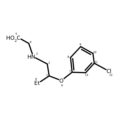 CCC(CNCC(=O)O)Oc1cccc(Cl)c1